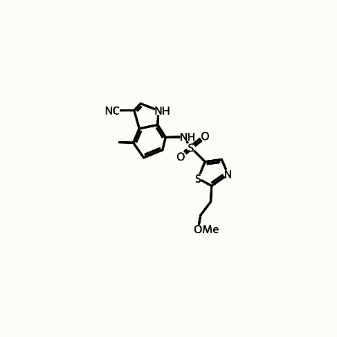 COCCc1ncc(S(=O)(=O)Nc2ccc(C)c3c(C#N)c[nH]c23)s1